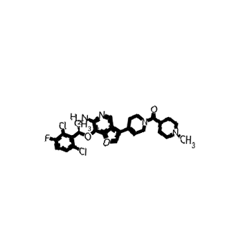 C[C@@H](Oc1c(N)ncc2c(C3=CCN(C(=O)C4CCN(C)CC4)CC3)coc12)c1c(Cl)ccc(F)c1Cl